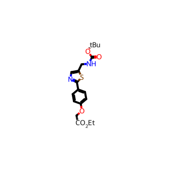 CCOC(=O)COc1ccc(-c2ncc(CNC(=O)OC(C)(C)C)s2)cc1